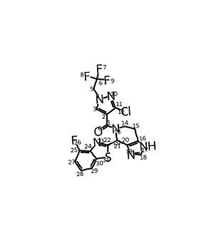 O=C(c1cn(CC(F)(F)F)nc1Cl)N1CCc2[nH]cnc2[C@H]1c1nc2c(F)cccc2s1